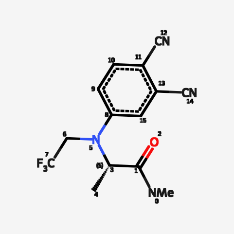 CNC(=O)[C@H](C)N(CC(F)(F)F)c1ccc(C#N)c(C#N)c1